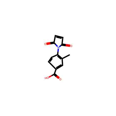 Cc1cc(C(=O)O)ccc1N1C(=O)C=CC1=O